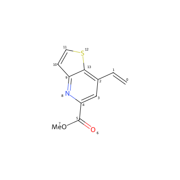 C=Cc1cc(C(=O)OC)nc2ccsc12